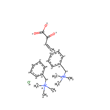 C=CC(=O)C(=O)[O-].C[N+](C)(C)Cc1ccccc1.C[N+](C)(C)Cc1ccccc1.[Cl-]